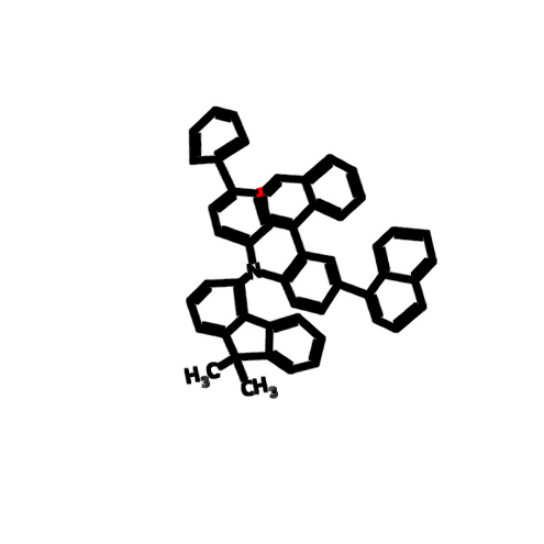 CC1(C)c2ccccc2-c2c(N(c3ccc(-c4ccccc4)cc3)c3ccc(-c4cccc5ccccc45)cc3-c3cccc4ccccc34)cccc21